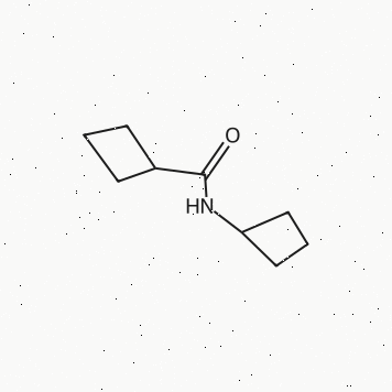 O=C(NC1CCC1)C1CCC1